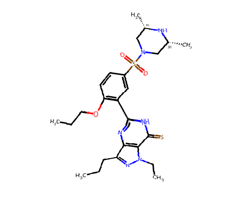 CCCOc1ccc(S(=O)(=O)N2C[C@@H](C)N[C@@H](C)C2)cc1-c1nc2c(CCC)nn(CC)c2c(=S)[nH]1